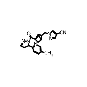 Cc1ccc(C2CC=NN2C(=O)C23CC(Cn4cc(C#N)cn4)C(C2)C3)nc1